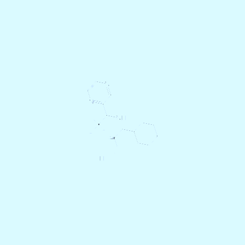 COC(=O)[C@H](NC(c1cnccn1)C(F)(F)F)C1CCCCC1